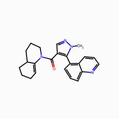 Cn1ncc(C(=O)N2CCCC3CCCC=C32)c1-c1cccc2ncccc12